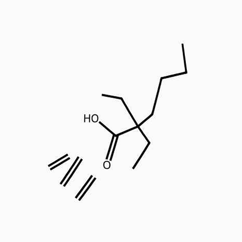 C=C.C=C.C=C.CCCCC(CC)(CC)C(=O)O